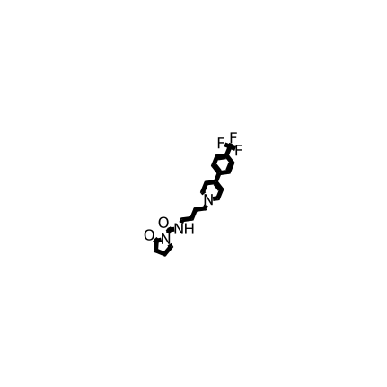 O=C1CCCN1C(=O)NCCCCN1CC=C(c2ccc(C(F)(F)F)cc2)CC1